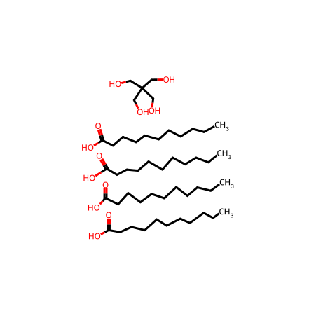 CCCCCCCCCCC(=O)O.CCCCCCCCCCC(=O)O.CCCCCCCCCCC(=O)O.CCCCCCCCCCC(=O)O.OCC(CO)(CO)CO